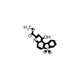 COC(=O)c1cc(O)c2c3c(ccc2n1)S(=O)(=O)c1ccccc1-3